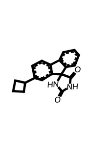 O=C1NC(=O)C2(N1)c1ccccc1-c1ccc(C3CCC3)cc12